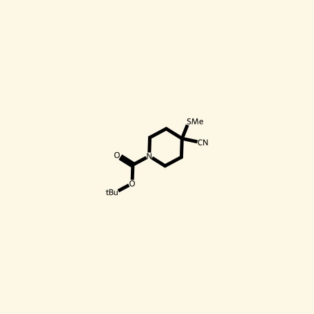 CSC1(C#N)CCN(C(=O)OC(C)(C)C)CC1